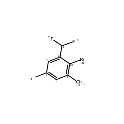 Cc1cc(I)cc(C(F)F)c1Br